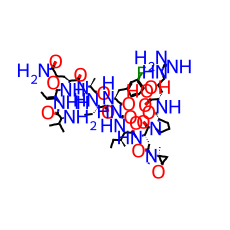 C/C=C(/NC(=O)[C@@H](N)C(C)C)C(=O)N[C@@H](CCC(N)=O)C(=O)N[C@@H](C)C(=O)N[C@@H](CC)C(=O)N[C@@H](Cc1ccc(O)c(F)c1)C(=O)NC(=O)N[C@H](C(=O)N[C@@H](CC(=O)N(C)[C@@]1(C)CC1=O)C(=O)N1CCC[C@H]1C(=O)N[C@@H](CCCNC(=N)N)C(=O)O)[C@@H](C)CC